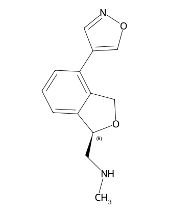 CNC[C@@H]1OCc2c(-c3cnoc3)cccc21